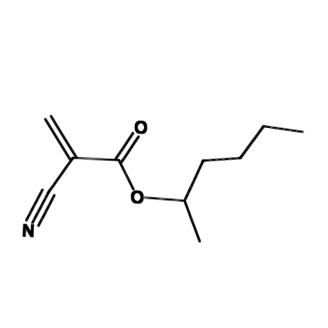 C=C(C#N)C(=O)OC(C)CCCC